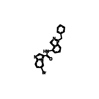 O=C(Nc1cccc2c1cnn2Cc1ccccc1)c1cnc2ccc(Br)cn12